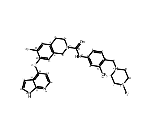 CCN1CCN(Cc2ccc(NC(=O)N3CCc4cc(F)c(Oc5ccnc6[nH]ccc56)cc4C3)cc2C(F)(F)F)CC1